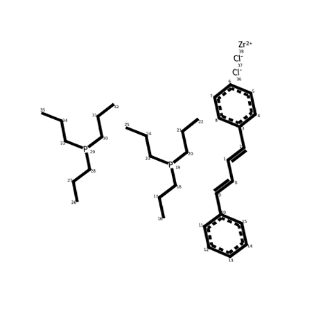 C(C=Cc1ccccc1)=Cc1ccccc1.CCCP(CCC)CCC.CCCP(CCC)CCC.[Cl-].[Cl-].[Zr+2]